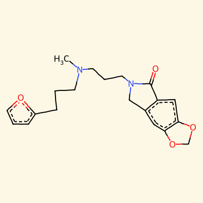 CN(CCCc1ccco1)CCCN1Cc2cc3c(cc2C1=O)OCO3